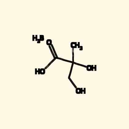 B.CC(O)(CO)C(=O)O